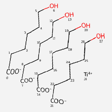 O=C([O-])CCCCCO.O=C([O-])CCCCCO.O=C([O-])CCCCCO.O=C([O-])CCCCCO.[Ti+4]